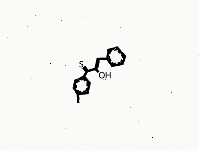 Cc1ccc(C(=S)C(O)=Cc2ccccc2)cc1